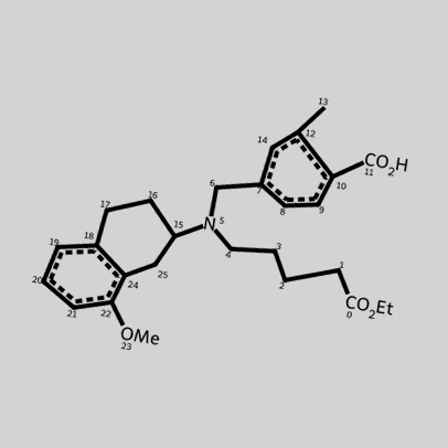 CCOC(=O)CCCCN(Cc1ccc(C(=O)O)c(C)c1)C1CCc2cccc(OC)c2C1